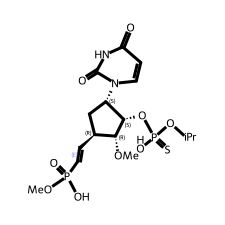 CO[C@H]1[C@@H](OP(O)(=S)OC(C)C)[C@@H](n2ccc(=O)[nH]c2=O)C[C@@H]1/C=C/P(=O)(O)OC